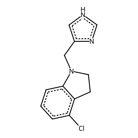 Clc1cccc2c1CCN2Cc1c[nH]cn1